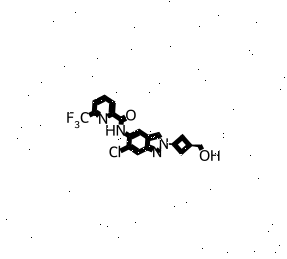 O=C(Nc1cc2cn([C@H]3C[C@H](CO)C3)nc2cc1Cl)c1cccc(C(F)(F)F)n1